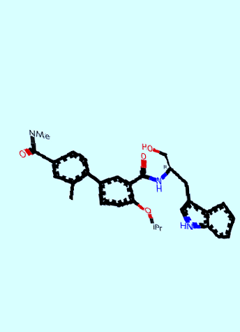 CNC(=O)c1ccc(-c2ccc(OC(C)C)c(C(=O)N[C@@H](CO)Cc3c[nH]c4ccccc34)c2)c(C)c1